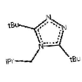 CC(C)Cn1c(C(C)(C)C)nnc1C(C)(C)C